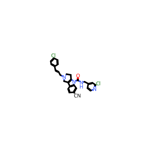 N#Cc1ccc2c3c(n(C(=O)NCc4ccnc(Cl)c4)c2c1)CCN(C/C=C/c1ccc(Cl)cc1)C3